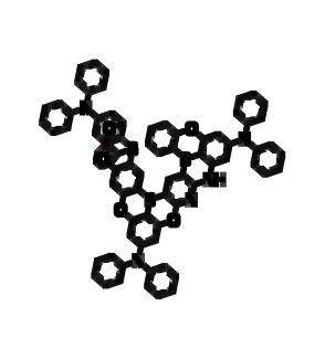 c1ccc(N(c2ccccc2)c2cc3c4c(c2)Oc2ccccc2B4c2cc4c(nc2N3)Oc2cc(N(c3ccccc3)c3ccccc3)cc3c2B4c2cc4c(cc2O3)Oc2cc(N(c3ccccc3)c3ccccc3)cc3c2B4c2ccccc2O3)cc1